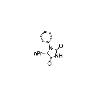 CCCC1C(=O)NC(=O)N1c1ccccc1